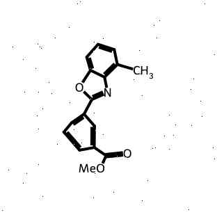 COC(=O)c1cccc(-c2nc3c(C)cccc3o2)c1